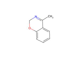 CC1=NCOc2ccccc21